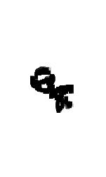 C[C@H](F)C[C@@H](CO)OCN1CCC(=O)NC1=O